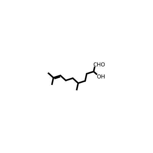 CC(C)=CCCC(C)CCC(O)C=O